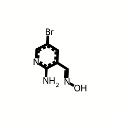 Nc1ncc(Br)cc1C=NO